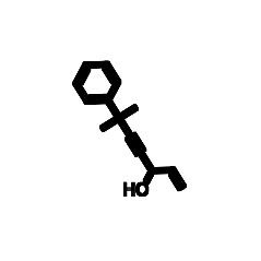 C=CC(O)C#CC(C)(C)c1ccccc1